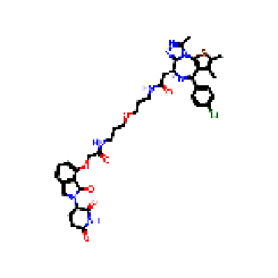 Cc1sc2c(c1C)C(c1ccc(Cl)cc1)=N[C@@H](CC(=O)NCCCOCCCNC(=O)COc1cccc3c1C(=O)N(C1CCC(=O)NC1=O)C3)c1nnc(C)n1-2